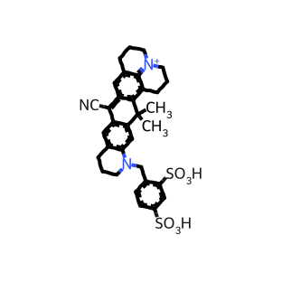 CC1(C)c2cc3c(cc2C(C#N)=c2cc4c5c(c21)CCC[N+]=5CCC4)CCCN3Cc1ccc(S(=O)(=O)O)cc1S(=O)(=O)O